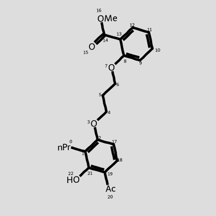 CCCc1c(OCCCOc2ccccc2C(=O)OC)ccc(C(C)=O)c1O